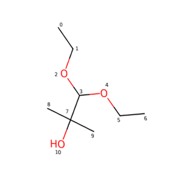 CCOC(OCC)C(C)(C)O